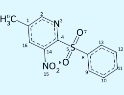 Cc1cnc(S(=O)(=O)c2ccccc2)c([N+](=O)[O-])c1